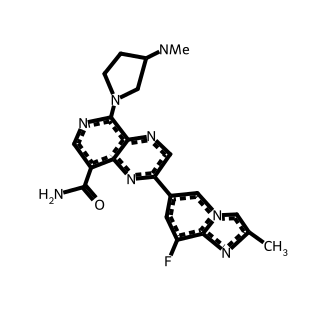 CNC1CCN(c2ncc(C(N)=O)c3nc(-c4cc(F)c5nc(C)cn5c4)cnc23)C1